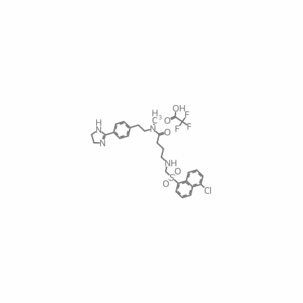 CN(CCc1ccc(C2=NCCN2)cc1)C(=O)CCCNCS(=O)(=O)c1cccc2c(Cl)cccc12.O=C(O)C(F)(F)F